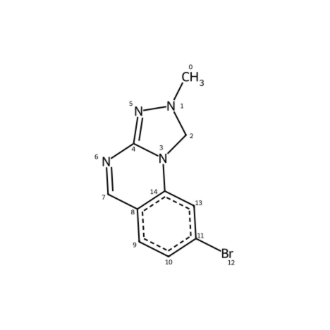 CN1CN2C(=N1)N=Cc1ccc(Br)cc12